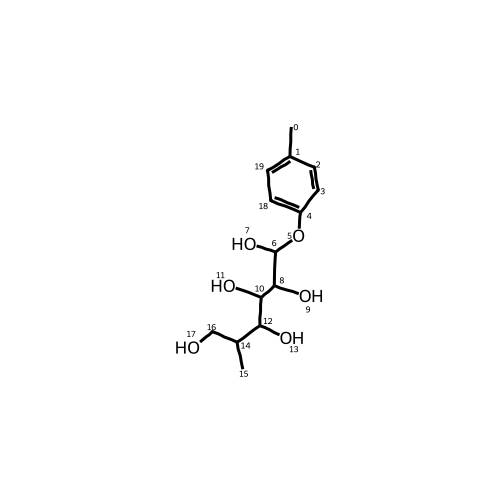 Cc1ccc(OC(O)C(O)C(O)C(O)C(C)CO)cc1